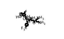 NCCN(CCN)C(=O)CC[C@H](N)C(=O)N[C@H](CCc1ccc(C(F)(F)F)cc1)C(=O)Nc1cc(CF)c2c(c1)B(O)OC2